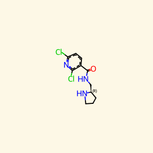 O=C(NC[C@H]1CCCN1)c1ccc(Cl)nc1Cl